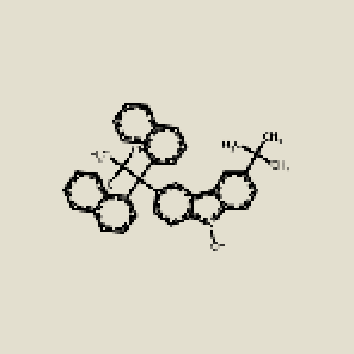 CC(C)(C)c1ccc2c(c1)c1cc(C(c3cccc4ccccc34)(c3cccc4ccccc34)C(C)(C)C)ccc1n2O